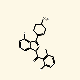 Cc1cccc(Cl)c1C(=O)n1nc(C2=CCC(C(=O)O)CC2)c2c(F)cccc21